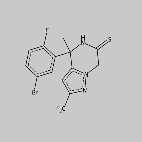 CC1(c2cc(Br)ccc2F)NC(=S)Cn2nc(C(F)(F)F)cc21